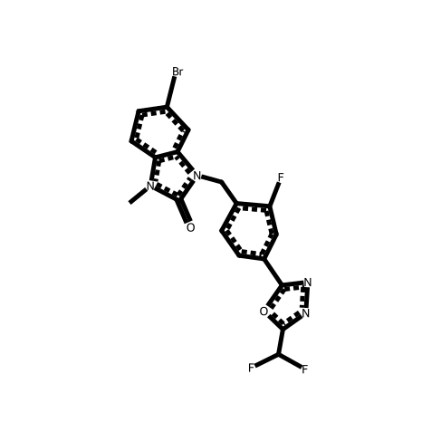 Cn1c(=O)n(Cc2ccc(-c3nnc(C(F)F)o3)cc2F)c2cc(Br)ccc21